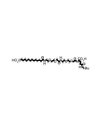 CCCCNC(=O)CC[C@H](NC(=O)COCCOCCNC(=O)COCCOCCNC(=O)CCCCCCCCCCCCC(=O)O)C(=O)O